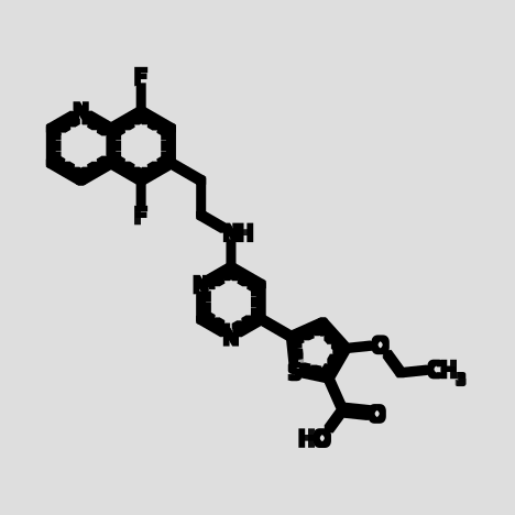 CCOc1cc(-c2cc(NCCc3cc(F)c4ncccc4c3F)ncn2)sc1C(=O)O